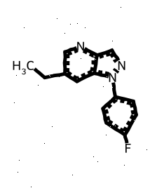 CCc1cnc2cnn(-c3ccc(F)cc3)c2c1